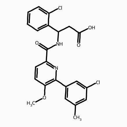 COc1ccc(C(=O)NC(CC(=O)O)c2ccccc2Cl)nc1-c1cc(C)cc(Cl)c1